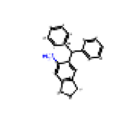 Nc1cc2c(cc1C(c1ccccc1)c1ccccc1)CCC2